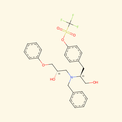 O=S(=O)(Oc1ccc(C[C@@H](CO)N(Cc2ccccc2)C[C@H](O)COc2ccccc2)cc1)C(F)(F)F